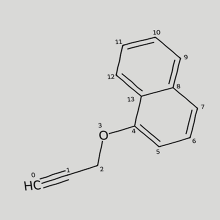 C#CCOc1cccc2ccccc12